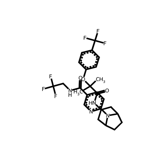 CC(C)(Oc1ccc(C(F)(F)F)cc1)C(=O)NC1CC2CCC(C1)N2c1ccc(C(=O)NCC(F)(F)F)cn1